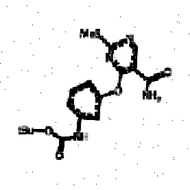 CSc1ncc(C(N)=O)c(Oc2cccc(NC(=O)OC(C)(C)C)c2)n1